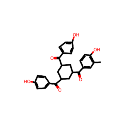 Cc1cc(C(=O)C2CC(C(=O)c3ccc(O)cc3)CC(C(=O)c3ccc(O)cc3)C2)ccc1O